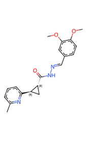 COc1ccc(C=NNC(=O)[C@@H]2C[C@H]2c2cccc(C)n2)cc1OC